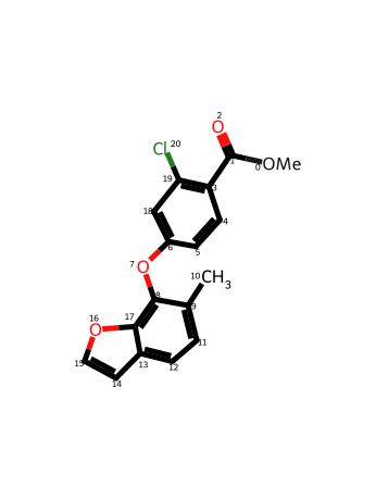 COC(=O)c1ccc(Oc2c(C)ccc3ccoc23)cc1Cl